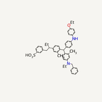 CCOc1ccc(Nc2ccc(C(c3ccc(C(CC)Cc4cccc(S(=O)(=O)O)c4)cc3C)c3ccc(N(CC)Cc4ccccc4)cc3C)cc2)cc1